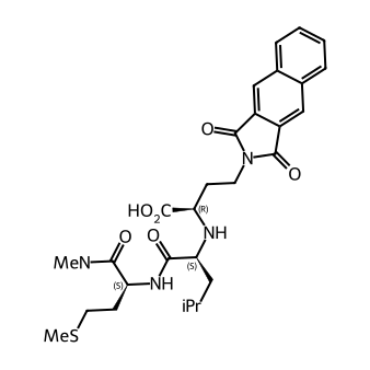 CNC(=O)[C@H](CCSC)NC(=O)[C@H](CC(C)C)N[C@H](CCN1C(=O)c2cc3ccccc3cc2C1=O)C(=O)O